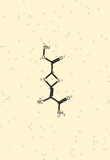 CC(C)(C)OC(=O)C1SC(=C(C#N)C(N)=O)S1